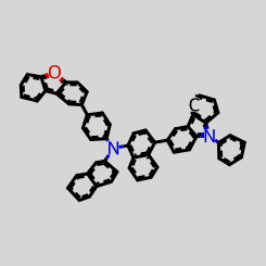 c1ccc(-n2c3ccccc3c3cc(-c4ccc(N(c5ccc(-c6ccc7oc8ccccc8c7c6)cc5)c5ccc6ccccc6c5)c5ccccc45)ccc32)cc1